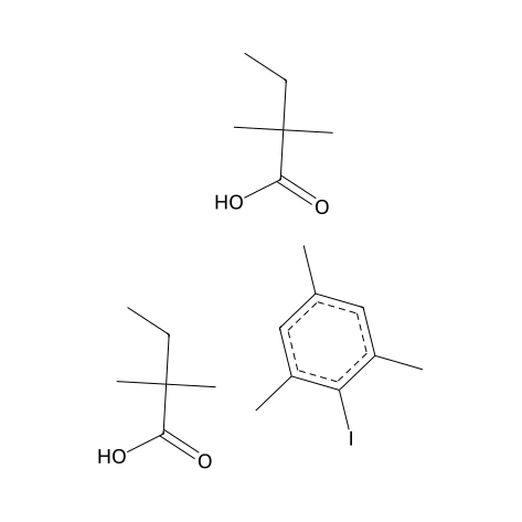 CCC(C)(C)C(=O)O.CCC(C)(C)C(=O)O.Cc1cc(C)c(I)c(C)c1